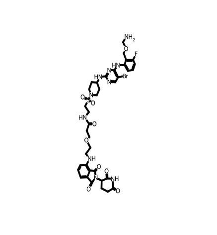 NCOCc1c(F)cccc1Nc1nc(NC2CCN(S(=O)(=O)CCNC(=O)CCOCCNc3cccc4c3C(=O)N(C3CCC(=O)NC3=O)C4=O)CC2)ncc1Br